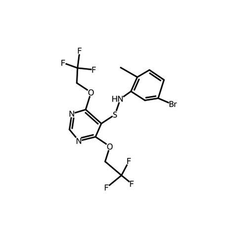 Cc1ccc(Br)cc1NSc1c(OCC(F)(F)F)ncnc1OCC(F)(F)F